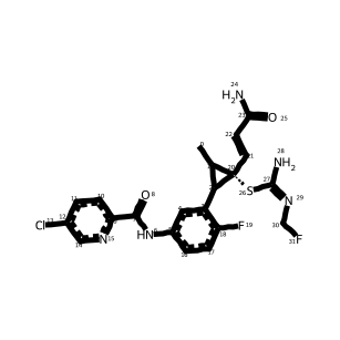 CC1C(c2cc(NC(=O)c3ccc(Cl)cn3)ccc2F)[C@@]1(/C=C/C(N)=O)S/C(N)=N\CF